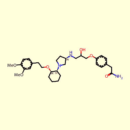 COc1ccc(CCO[C@@H]2CCCC[C@@H]2N2CC[C@@H](NCC(O)COc3ccc(CC(N)=O)cc3)C2)cc1OC